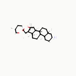 C[C@H]1CC[C@@]2(OC1)O[C@H]1C[C@H]3[C@@H]4CC[C@@H]5C[C@H](N)CC[C@]5(C)[C@H]4CC[C@]3(C)[C@H]1[C@@H]2C